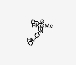 COC(=O)C(Cc1ccccc1)Nc1cc(-c2ccc(CNc3ccccc3)cc2)ncn1